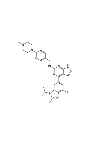 Cc1nc2c(F)cc(-c3nc(NCc4ccc(N5CCN(C)CC5)nc4)nc4[nH]ccc34)cc2n1C(C)C